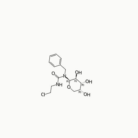 O=C(NCCCl)N(Cc1ccccc1)[C@@H]1OC[C@@H](O)[C@@H](O)[C@@H]1O